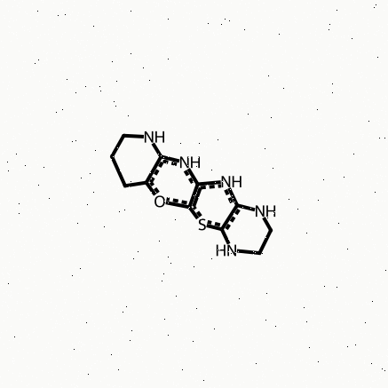 C1CNc2[nH]c3[nH]c4c(sc=3oc2C1)NCCN4